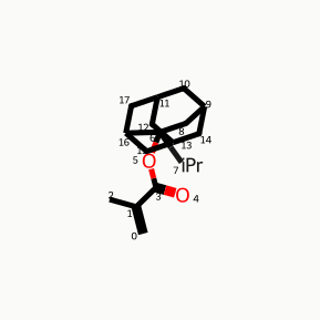 C=C(C)C(=O)OC1(C(C)C)CC2CC3CC(C2)CC1C3